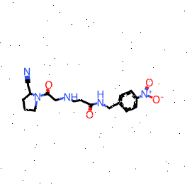 N#CC1CCCN1C(=O)CNCCC(=O)NCc1ccc([N+](=O)[O-])cc1